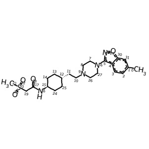 Cc1ccc2c(N3CCN(CC[C@H]4CC[C@H](NC(=O)CS(C)(=O)=O)CC4)CC3)noc2c1